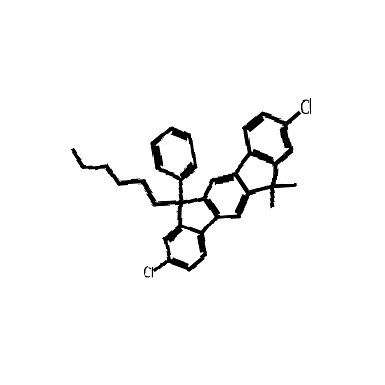 CCCCCCC1(c2ccccc2)c2cc(Cl)ccc2-c2cc3c(cc21)-c1ccc(Cl)cc1C3(C)C